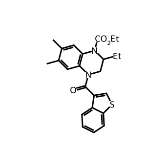 CCOC(=O)N1c2cc(C)c(C)cc2N(C(=O)c2csc3ccccc23)CC1CC